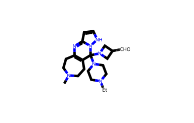 CCN1CCN(C2(N3CC(C=O)C3)C3=C(CCN(C)CC3)N=C3C=CNN32)CC1